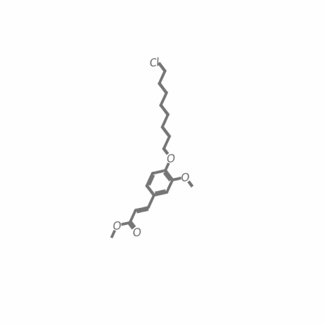 COC(=O)/C=C/c1ccc(OCCCCCCCCCl)c(OC)c1